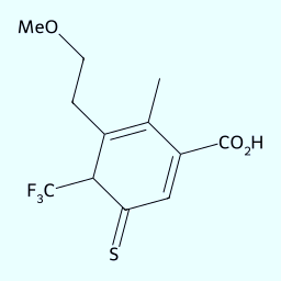 COCCC1=C(C)C(C(=O)O)=CC(=S)C1C(F)(F)F